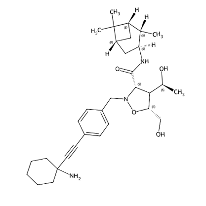 C[C@@H]1[C@@H](NC(=O)[C@@H]2C([C@H](C)O)[C@H](CO)ON2Cc2ccc(C#CC3(N)CCCCC3)cc2)C[C@H]2C[C@@H]1C2(C)C